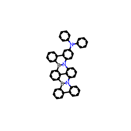 c1ccc(N(c2ccccc2)c2ccc3c(c2)-c2ccccc2B2c4cccc5c4-c4c(cccc4N23)N2B5c3ccccc3-c3ccccc32)cc1